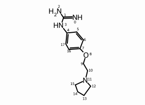 N=C(N)Nc1ccc(OCCN2CCCC2)cc1